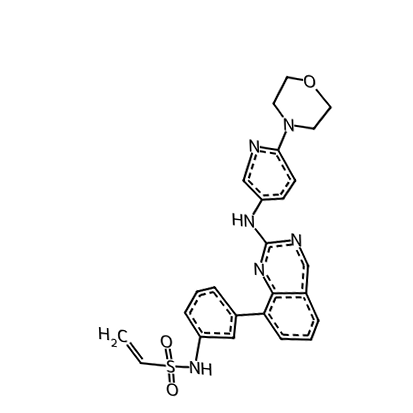 C=CS(=O)(=O)Nc1cccc(-c2cccc3cnc(Nc4ccc(N5CCOCC5)nc4)nc23)c1